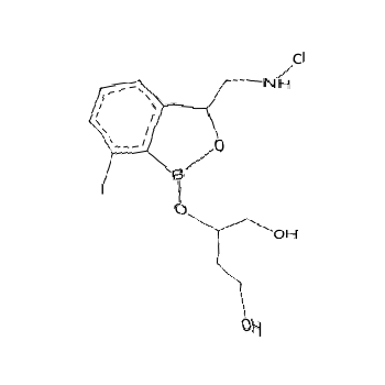 OCCC(CO)OB1OC(CNCl)c2cccc(I)c21